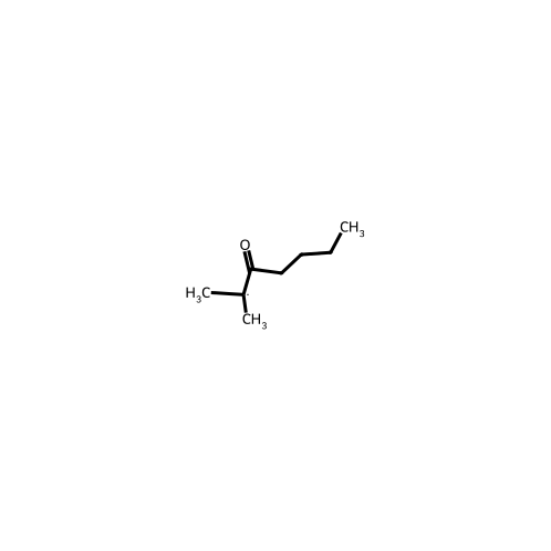 CCCCC(=O)[C](C)C